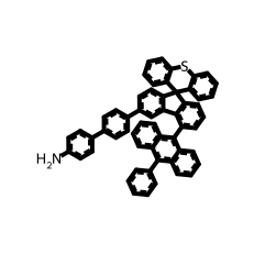 Nc1ccc(-c2ccc(-c3ccc4c(c3)-c3c(-c5c6ccccc6c(-c6ccccc6)c6ccccc56)cccc3C43c4ccccc4Sc4ccccc43)cc2)cc1